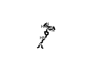 CCCN(CCC)CCCCNCc1ccc(CN(Cc2ncc[nH]2)C(C)c2ncc[nH]2)cc1